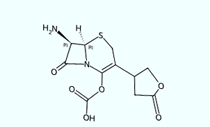 N[C@@H]1C(=O)N2C(OC(=O)O)=C(C3COC(=O)C3)CS[C@H]12